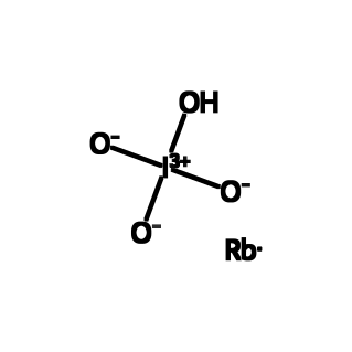 [O-][I+3]([O-])([O-])O.[Rb]